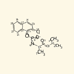 CC(C)OC(=O)C(C)/N=[P+](\[O-])Oc1c(Cl)ccc2ccccc12